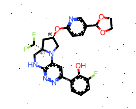 Oc1c(F)cccc1-c1cc2c(nn1)NC[C@@]1(C(F)F)C[C@@H](Oc3ccc(C4OCCO4)cn3)CN21